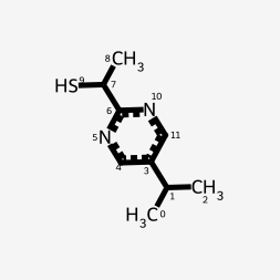 CC(C)c1cnc(C(C)S)nc1